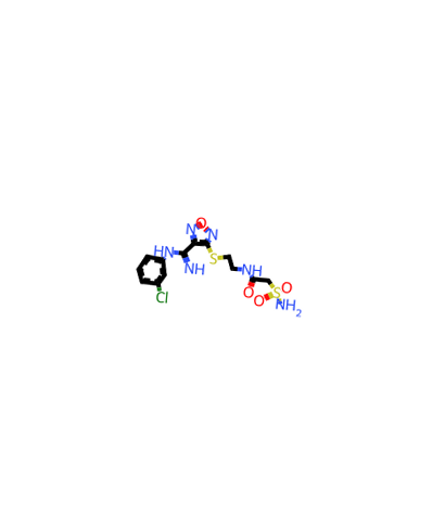 N=C(Nc1cccc(Cl)c1)c1nonc1SCCNC(=O)CS(N)(=O)=O